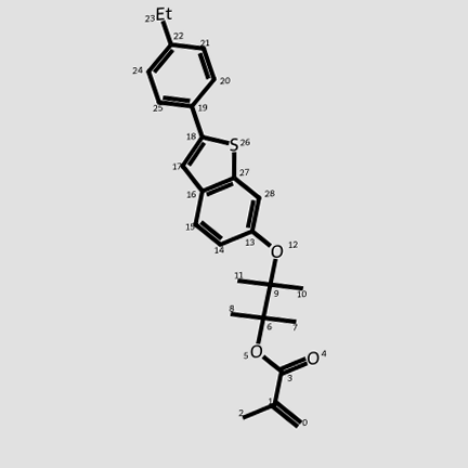 C=C(C)C(=O)OC(C)(C)C(C)(C)Oc1ccc2cc(-c3ccc(CC)cc3)sc2c1